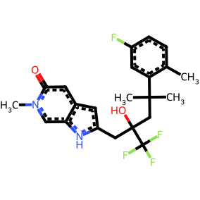 Cc1ccc(F)cc1C(C)(C)CC(O)(Cc1cc2cc(=O)n(C)cc2[nH]1)C(F)(F)F